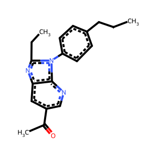 C[CH]Cc1ccc(-n2c(CC)nc3cc(C(C)=O)cnc32)cc1